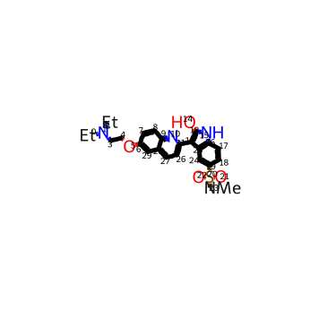 CCN(CC)CCOc1ccc2nc(-c3c(O)[nH]c4ccc(S(=O)(=O)NC)cc34)ccc2c1